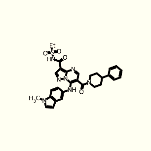 CCS(=O)(=O)NC(=O)c1cnn2c(Nc3ccc4c(ccn4C)c3)c(C(=O)N3CCC(c4ccccc4)CC3)cnc12